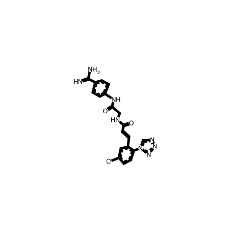 N=C(N)c1ccc(NC(=O)CNC(=O)/C=C/c2cc(Cl)ccc2-n2cnnn2)cc1